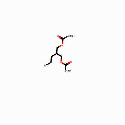 CCCCCCCC(=O)OCC(CCC(C)(C)C)COC(=O)CCCCCCC